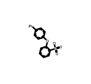 CC(C)c1ccc(Oc2ccccc2S(=O)(=O)Cl)cc1